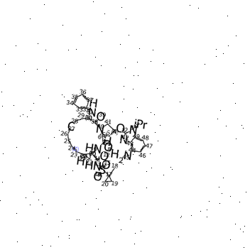 CC(C)n1c(O[C@@H]2C[C@H]3C(=O)N[C@]4(C(=O)NS(=O)(=O)C5(C)CC5)C[C@H]4/C=C\CCCCC[C@H](Nc4ccccc4)C(=O)N3C2)nc2c(N)cccc21